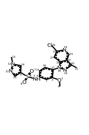 COc1cc(NS(=O)(=O)c2cnn(C)c2)ccc1-n1nc(C)c2cnc(Cl)cc21